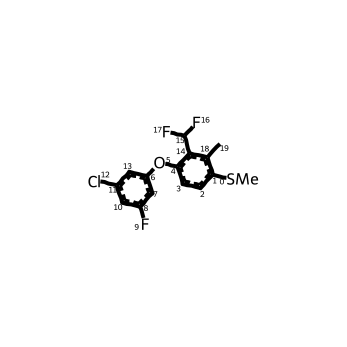 CSc1ccc(Oc2cc(F)cc(Cl)c2)c(C(F)F)c1C